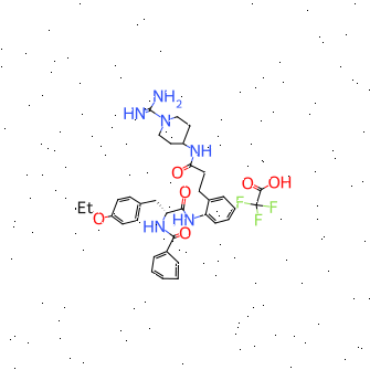 CCOc1ccc(C[C@@H](NC(=O)c2ccccc2)C(=O)Nc2ccccc2CCC(=O)NC2CCN(C(=N)N)CC2)cc1.O=C(O)C(F)(F)F